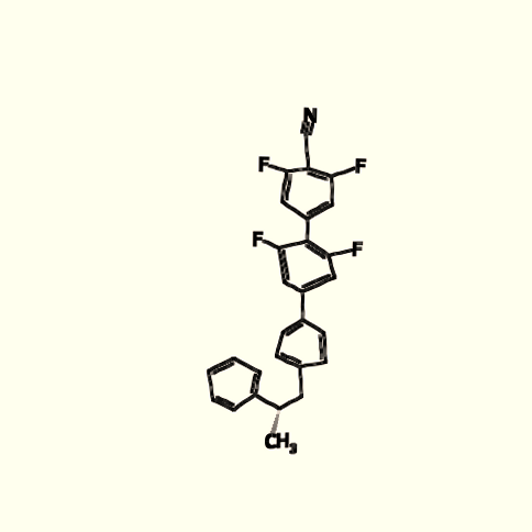 C[C@@H](Cc1ccc(-c2cc(F)c(-c3cc(F)c(C#N)c(F)c3)c(F)c2)cc1)c1ccccc1